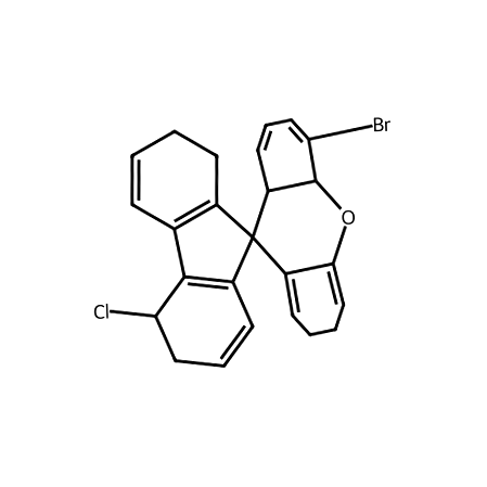 ClC1CC=CC2=C1C1=C(CCC=C1)C21C2=CCCC=C2OC2C(Br)=CC=CC21